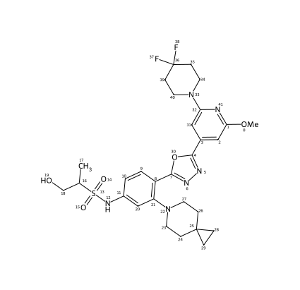 COc1cc(-c2nnc(-c3ccc(NS(=O)(=O)C(C)CO)cc3N3CCC4(CC3)CC4)o2)cc(N2CCC(F)(F)CC2)n1